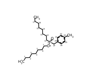 CCCCCCCCOP(=O)(CCCCCCCC)Cc1ccc(C)cc1